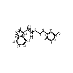 Cc1cccc(CCCNC(C)c2csc3ccccc23)c1